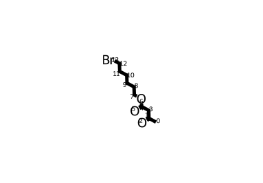 CC(=O)CC(=O)OCCCCCCBr